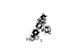 C[C@H]1CN(C[C@H]2CN(S(=O)(=O)c3cccs3)CCN2c2ccc([C@@](C)(O)C(F)(F)F)cc2)CCO1